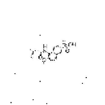 COc1ccc2cc(S(=O)(=O)O)ccc2c1NC(=O)CC(C)=O